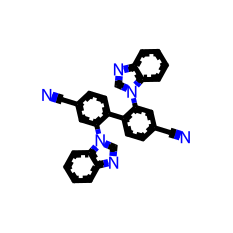 N#Cc1ccc(-c2ccc(C#N)cc2-n2cnc3ccccc32)c(-n2cnc3ccccc32)c1